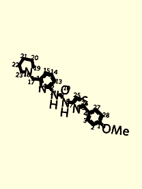 COc1ccc(-c2nc(NC(=O)Nc3cccc(CN4CCCCC4)n3)cs2)cc1